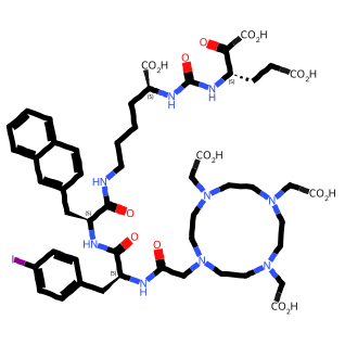 O=C(O)CC[C@H](NC(=O)N[C@@H](CCCCNC(=O)[C@H](Cc1ccc2ccccc2c1)NC(=O)[C@H](Cc1ccc(I)cc1)NC(=O)CN1CCN(CC(=O)O)CCN(CC(=O)O)CCN(CC(=O)O)CC1)C(=O)O)C(=O)C(=O)O